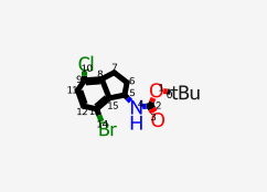 CC(C)(C)OC(=O)NC1CCc2c(Cl)ccc(Br)c21